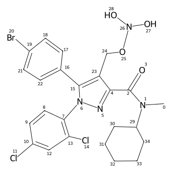 CN(C(=O)c1nn(-c2ccc(Cl)cc2Cl)c(-c2ccc(Br)cc2)c1CON(O)O)C1CCCCC1